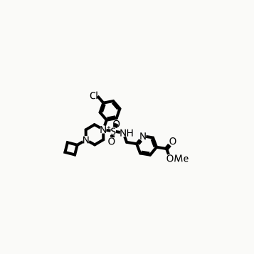 COC(=O)c1ccc(CNS(=O)(=O)[N+]2(c3cccc(Cl)c3)CCN(C3CCC3)CC2)nc1